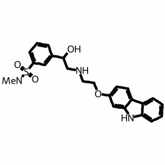 CNS(=O)(=O)c1cccc(C(O)CNCCOc2ccc3c(c2)[nH]c2ccccc23)c1